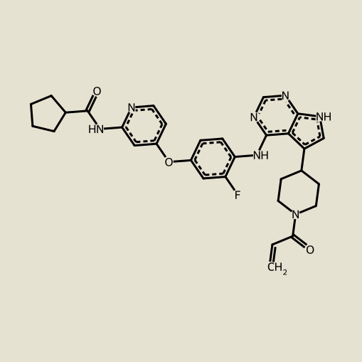 C=CC(=O)N1CCC(c2c[nH]c3ncnc(Nc4ccc(Oc5ccnc(NC(=O)C6CCCC6)c5)cc4F)c23)CC1